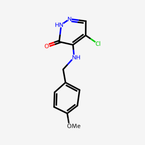 COc1ccc(CNc2c(Cl)cn[nH]c2=O)cc1